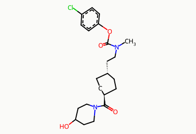 CN(CC[C@H]1CC[C@H](C(=O)N2CCC(O)CC2)CC1)C(=O)Oc1ccc(Cl)cc1